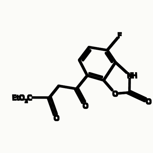 CCOC(=O)C(=O)CC(=O)c1ccc(F)c2[nH]c(=O)oc12